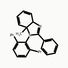 CC(C)c1cccc(C(C)C)c1N1C(c2ccccc2)=NC2C=CC=CC21C